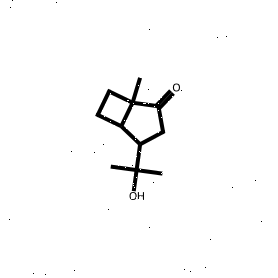 CC(C)(O)C1CC(=O)C2(C)CCC12